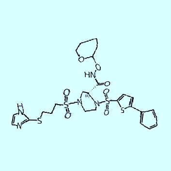 O=C(NOC1CCCCO1)[C@H]1CN(S(=O)(=O)CCCSc2ncc[nH]2)CCN1S(=O)(=O)c1ccc(-c2ccccc2)s1